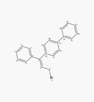 BrC/C=C(/c1ccccc1)c1ccc(-c2ccccc2)cc1